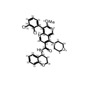 COc1ncc2c(N3CCOCC3)c(C(=O)N[C@H]3CCOc4ccccc43)cnc2c1-c1cccc(Cl)c1Cl